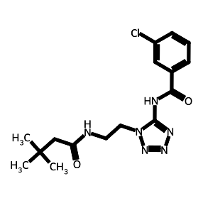 CC(C)(C)CC(=O)NCCn1nnnc1NC(=O)c1cccc(Cl)c1